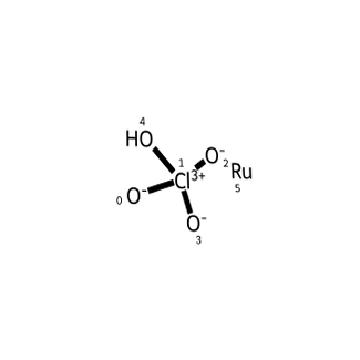 [O-][Cl+3]([O-])([O-])O.[Ru]